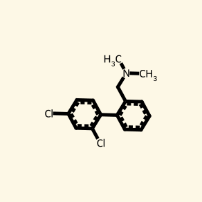 CN(C)Cc1ccccc1-c1ccc(Cl)cc1Cl